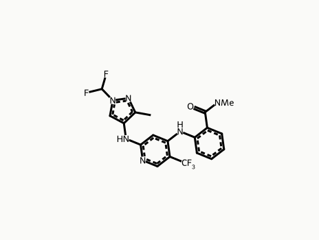 CNC(=O)c1ccccc1Nc1cc(Nc2cn(C(F)F)nc2C)ncc1C(F)(F)F